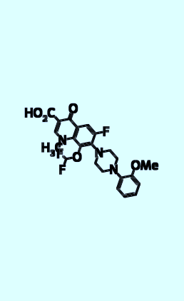 COc1ccccc1N1CCN(c2c(F)cc3c(=O)c(C(=O)O)cn(C)c3c2OC(F)F)CC1